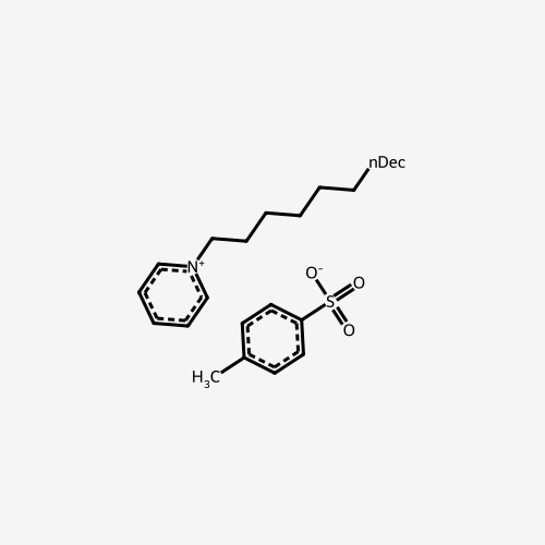 CCCCCCCCCCCCCCCC[n+]1ccccc1.Cc1ccc(S(=O)(=O)[O-])cc1